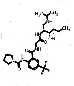 CCC[C@H](O)[C@H](CNC(C)C)NC(=O)CNC(=O)c1cc(C(F)(F)F)ccc1NC(=O)N1CCCC1